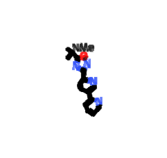 CNC(C)(C)c1nc(-c2ccc(-c3ccccn3)cn2)no1